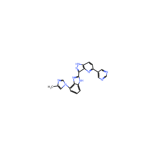 Cc1cn(-c2cccc3[nH]c(-c4n[nH]c5ccc(-c6cncnc6)nc45)nc23)cn1